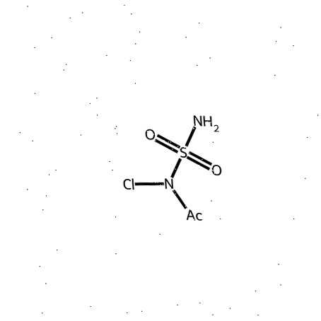 CC(=O)N(Cl)S(N)(=O)=O